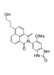 C=c1c2ccc(CCCO)c3cccc(c(=O)n1-c1cc4[nH]c(=O)[nH]c4cc1OC)c32